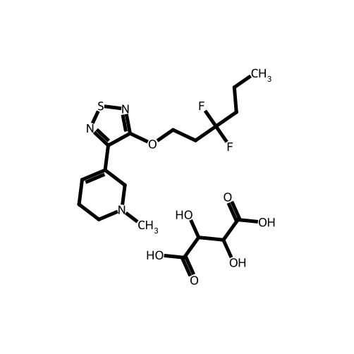 CCCC(F)(F)CCOc1nsnc1C1=CCCN(C)C1.O=C(O)C(O)C(O)C(=O)O